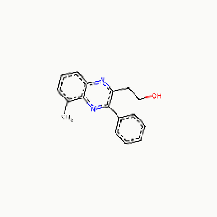 Cc1cccc2nc(CCO)c(-c3ccccc3)nc12